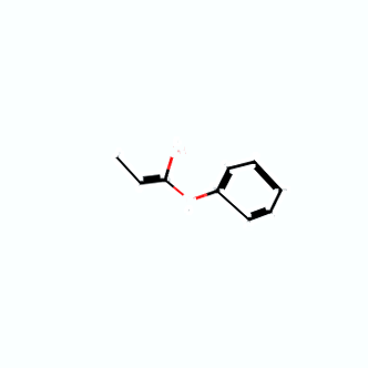 CC=C(O)Oc1ccccc1